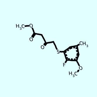 COC(=O)CC(=O)CSc1cc(C)cc(OC)c1F